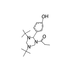 CCC(=O)N1CN(C(C)(C)C)CN(C(C)(C)C)C1c1ccc(O)cc1